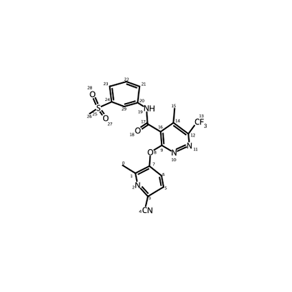 Cc1nc(C#N)ccc1Oc1nnc(C(F)(F)F)c(C)c1C(=O)Nc1cccc(S(C)(=O)=O)c1